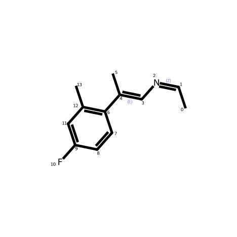 C/C=N\C=C(/C)c1ccc(F)cc1C